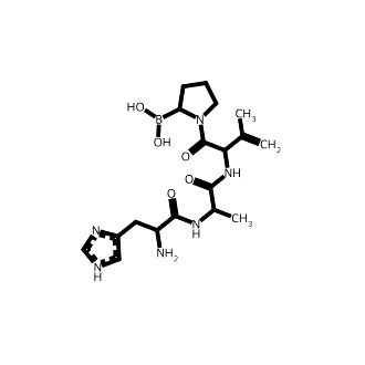 C=C(C)C(NC(=O)C(C)NC(=O)C(N)Cc1c[nH]cn1)C(=O)N1CCCC1B(O)O